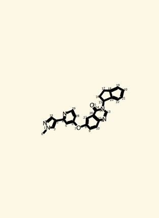 Cn1cc(-c2cc(Oc3ccc4ncn(C5CCc6ccccc65)c(=O)c4c3)ccn2)cn1